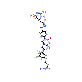 C[C@H](N)CCCc1cc(Cl)c(F)c(-c2cc3cn(-c4ccc(CN[C@@H](C)C[C@@H](CCO)NC(=N)N)cc4)c(=O)nc3[nH]2)c1